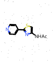 CC(=O)Nc1csc(-c2ccncc2)n1